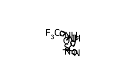 Cc1nc(-c2ccncc2)c(-c2ccc(F)c(NC(=O)Nc3ccc(C(F)(F)F)cc3)c2)s1